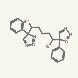 C[CH]CC(CCCC(Br)C1(c2ccccc2)C=NN=N1)C1(c2ccccc2)C=NN=N1